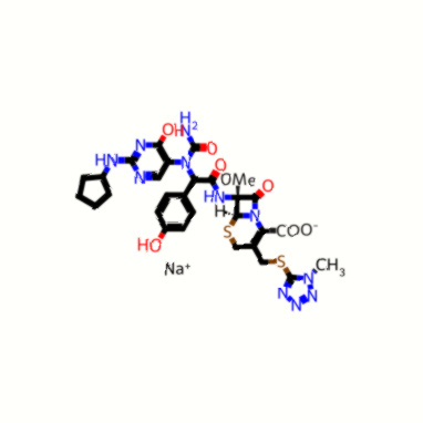 CO[C@@]1(NC(=O)C(c2ccc(O)cc2)N(C(N)=O)c2cnc(NC3CCCC3)nc2O)C(=O)N2C(C(=O)[O-])=C(CSc3nnnn3C)CS[C@H]21.[Na+]